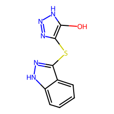 Oc1[nH]nnc1Sc1n[nH]c2ccccc12